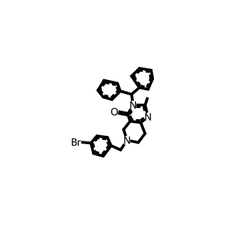 Cc1nc2c(c(=O)n1C(c1ccccc1)c1ccccc1)CN(Cc1ccc(Br)cc1)CC2